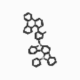 Cc1cc(-n2c3ccccc3c3c2ccc2c4ccccc4n(-c4ccccc4)c23)ccc1-c1cccc2c3ccccc3c3ccccc3c12